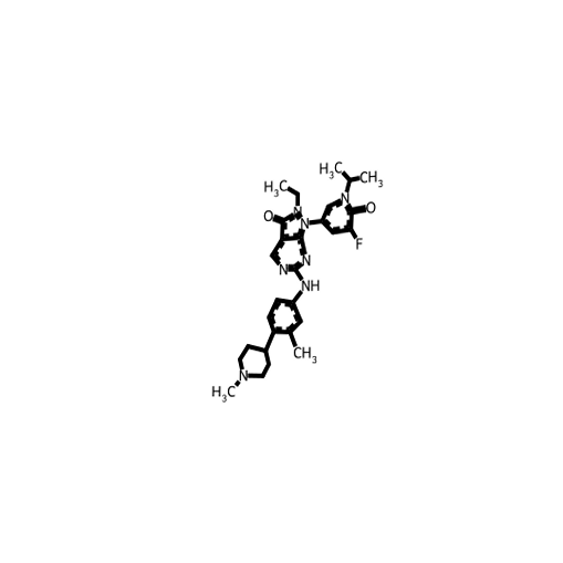 CCn1c(=O)c2cnc(Nc3ccc(C4CCN(C)CC4)c(C)c3)nc2n1-c1cc(F)c(=O)n(C(C)C)c1